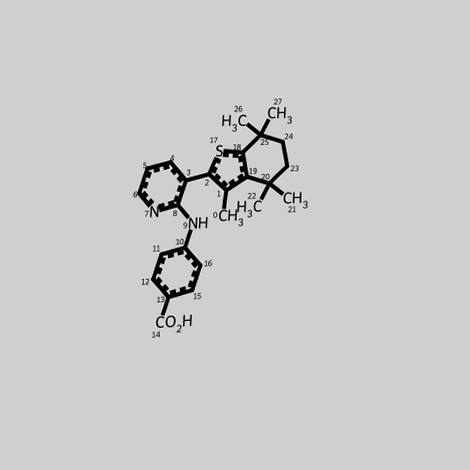 Cc1c(-c2cccnc2Nc2ccc(C(=O)O)cc2)sc2c1C(C)(C)CCC2(C)C